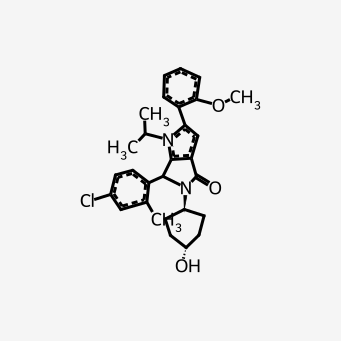 COc1ccccc1-c1cc2c(n1C(C)C)C(c1ccc(Cl)cc1C)N([C@H]1CC[C@H](O)CC1)C2=O